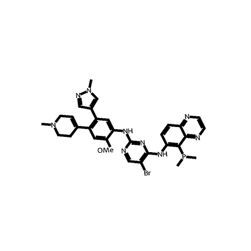 COc1cc(C2=CCN(C)CC2)c(-c2cnn(C)c2)cc1Nc1ncc(Br)c(Nc2ccc3nccnc3c2P(C)C)n1